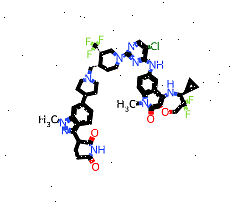 Cn1nc(C2CCC(=O)NC2=O)c2ccc(C3CCN(C[C@H]4CCN(c5ncc(Cl)c(Nc6ccc7c(c6)c6c(c(=O)n7C)OCC(F)(F)[C@H](C7CC7)N6)n5)C[C@H]4C(F)(F)F)CC3)cc21